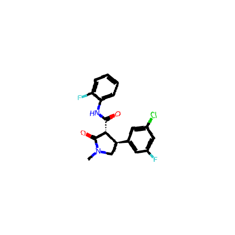 CN1C[C@H](c2cc(F)cc(Cl)c2)[C@@H](C(=O)Nc2ccccc2F)C1=O